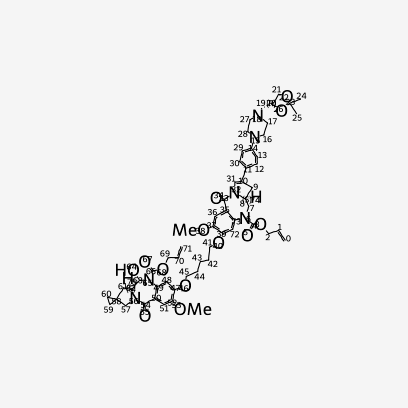 C=CCOC(=O)N1C[C@@H]2CC(c3ccc(N4CCN(C[C@@H]5COC(C)(C)O5)CC4)cc3)=CN2C(=O)c2cc(OC)c(OCCCCCOc3cc4c(cc3OC)C(=O)N3CC5(CC5)C[C@H]3C(O)N4C(=O)OCC=C)cc21